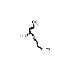 CCCCCCCCC[CH]C(C)/C=C/C(=O)O